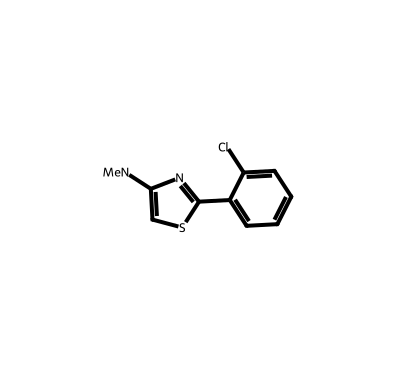 CNc1csc(-c2ccccc2Cl)n1